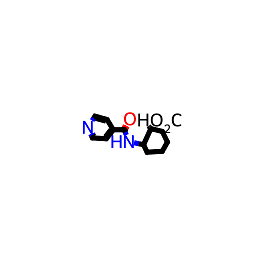 O=C(NC1CCCCC1C(=O)O)c1ccncc1